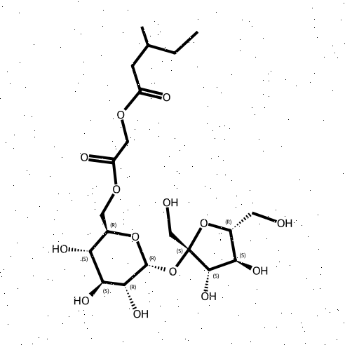 CCC(C)CC(=O)OCC(=O)OC[C@H]1O[C@H](O[C@]2(CO)O[C@H](CO)[C@@H](O)[C@@H]2O)[C@H](O)[C@@H](O)[C@@H]1O